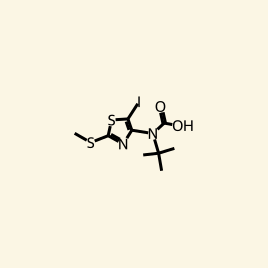 CSc1nc(N(C(=O)O)C(C)(C)C)c(I)s1